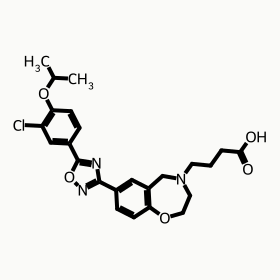 CC(C)Oc1ccc(-c2nc(-c3ccc4c(c3)CN(CCCC(=O)O)CCO4)no2)cc1Cl